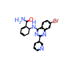 NC(=O)C1=CC=CCC1Nc1nc(-c2cccnc2)nc2cc(Br)ccc12